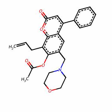 C=CCc1c(OC(C)=O)c(CN2CCOCC2)cc2c(-c3ccccc3)cc(=O)oc12